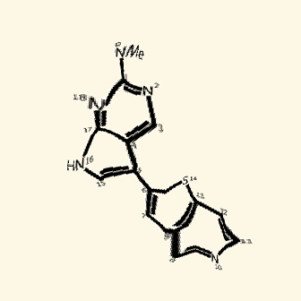 CNc1ncc2c(-c3cc4cnccc4s3)c[nH]c2n1